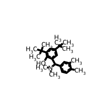 Cc1ccc(C(c2cc(C(C)(C)C)cc(C(C)(C)C)c2O)N(C)C)cc1C